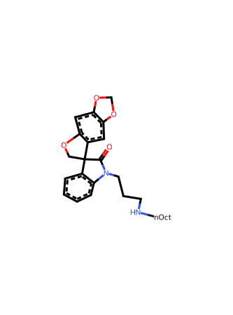 CCCCCCCCNCCCN1C(=O)C2(COc3cc4c(cc32)OCO4)c2ccccc21